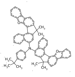 CC(C)(C)c1ccc(N(c2cc3c(c4ccccc24)-c2c(ccc4c2oc2ccccc24)C3(C)C)c2cc3c(c4ccccc24)-c2c(ccc4c2oc2ccccc24)C3(C)C)cc1